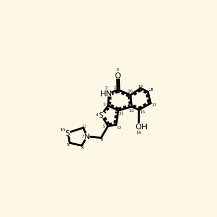 O=c1[nH]c2sc(CN3CCSC3)cc2c2c(O)cccc12